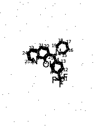 Oc1c(C(c2ccc(C(F)(F)F)cc2)N2CCCCC2)ccc2cccnc12